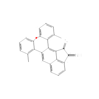 Cc1cccc(C)c1-c1cc2cccc3c2c(c1-c1c(C)cccc1C)C(=N)C3=N